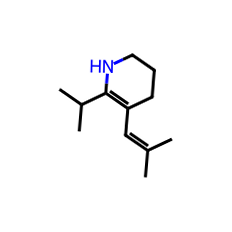 CC(C)=CC1=C(C(C)C)NCCC1